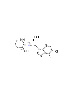 Cc1c(Cl)cnc2c1ncn2C/C=C/[C@H]1NCCC[C@@H]1O.Cl.Cl